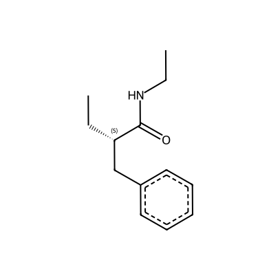 CCNC(=O)[C@@H](CC)Cc1ccccc1